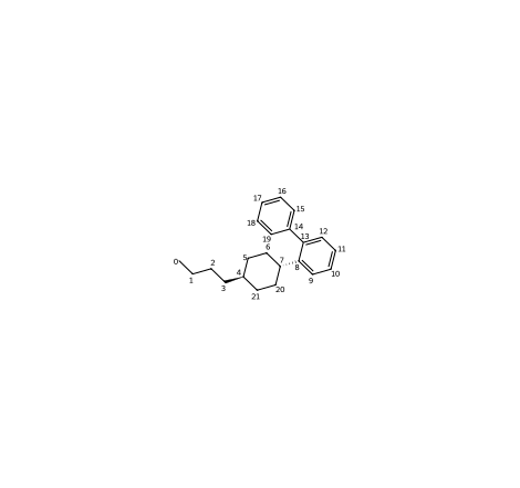 CCCC[C@H]1CC[C@H](c2ccccc2-c2ccccc2)CC1